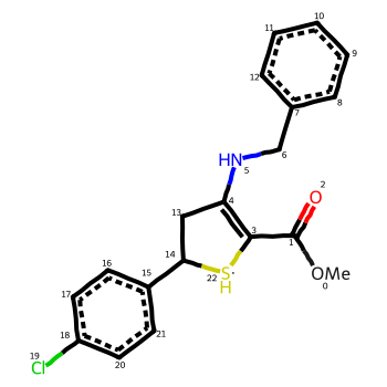 COC(=O)C1=C(NCc2ccccc2)CC(c2ccc(Cl)cc2)[SH]1